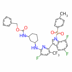 Cc1ccc(S(=O)(=O)n2cc(-c3nc(N[C@@H]4CCC[C@H](NC(=O)OCc5ccccc5)C4)c(F)cc3C(F)(F)F)c3cc(F)cc(F)c32)cc1